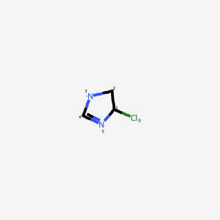 ClC1C[N]C=N1